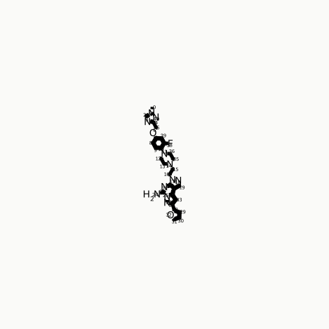 Cn1cnc(COc2ccc(N3CCN(CCn4ncc5c4nc(N)n4nc(-c6ccco6)cc54)CC3)c(F)c2)n1